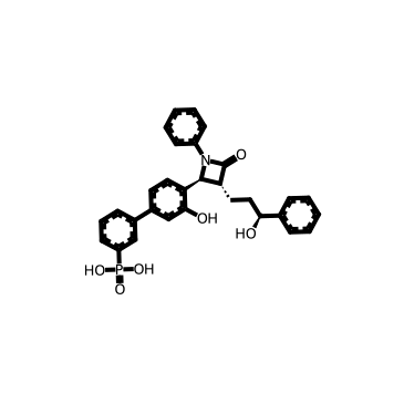 O=C1[C@H](CC[C@H](O)c2ccccc2)[C@@H](c2ccc(-c3cccc(P(=O)(O)O)c3)cc2O)N1c1ccccc1